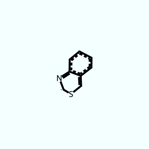 [CH]1N=c2ccccc2=CS1